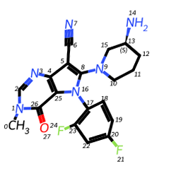 Cn1cnc2c(C#N)c(N3CCC[C@H](N)C3)n(-c3ccc(F)cc3F)c2c1=O